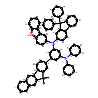 CC1(C)c2cc(-c3cc(N(c4ccccc4)c4ccccc4)cc(N(c4ccc5c(c4)C(c4ccccc4)(c4ccccc4)c4ccccc4-5)c4ccc5oc6ccccc6c5c4)c3)ccc2-c2cc3ccccc3cc21